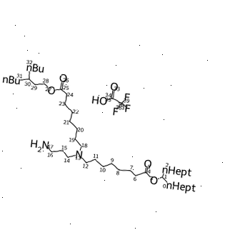 CCCCCCCC(CCCCCCC)OC(=O)CCCCCCCN(CCCN)CCCCCCCC(=O)OCCC(CCCC)CCCC.O=C(O)C(F)(F)F